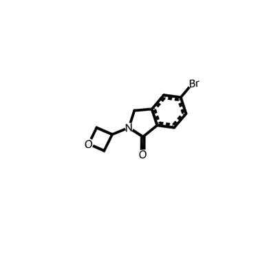 O=C1c2ccc(Br)cc2CN1C1COC1